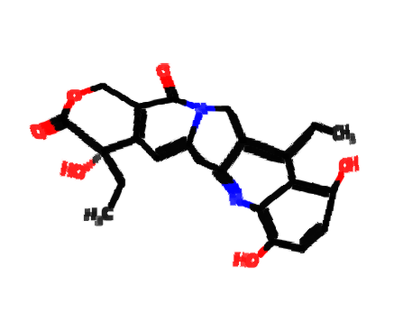 CCc1c2c(nc3c(O)ccc(O)c13)-c1cc3c(c(=O)n1C2)COC(=O)[C@]3(O)CC